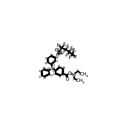 CCN(CC)OC(=O)c1ccc([S+](c2ccccc2)c2ccccc2)cc1.O=S(=O)([O-])C(F)(F)C(F)(F)C(F)(F)C(F)(F)F